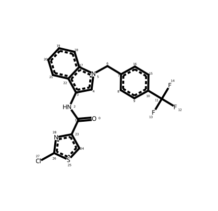 O=C(Nc1cn(Cc2ccc(C(F)(F)F)cc2)c2ccccc12)c1csc(Cl)n1